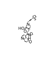 CON[C@H](CC[C@@H]1CCN(CC#Cc2cccs2)C[C@@H]1C(=O)O)c1ccnc2ccc(OC)cc12